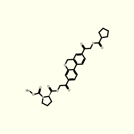 CC(C)(C)OC(=O)N1CCC[C@@H]1C(=O)OCC(=O)c1ccc2c(c1)OCc1cc(C(=O)COC(=O)C3CCCC3)ccc1-2